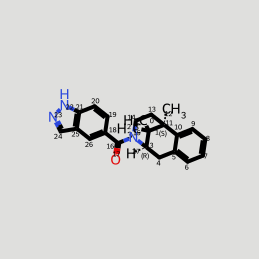 CC1(C)[C@H]2Cc3ccccc3[C@]1(C)CCN2C(=O)c1ccc2[nH]ncc2c1